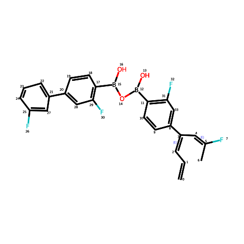 C=C/C=C(\C=C(/C)F)c1ccc(B(O)OB(O)c2ccc(-c3cccc(F)c3)cc2F)c(F)c1